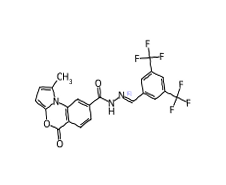 Cc1ccc2oc(=O)c3ccc(C(=O)N/N=C/c4cc(C(F)(F)F)cc(C(F)(F)F)c4)cc3n12